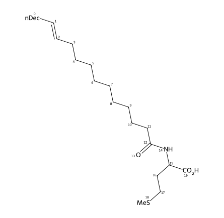 CCCCCCCCCCC=CCCCCCCCCCC(=O)NC(CCSC)C(=O)O